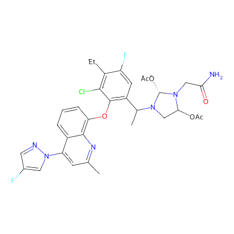 CCc1c(F)cc(C(C)N2CC(OC(C)=O)N(CC(N)=O)[C@H]2OC(C)=O)c(Oc2cccc3c(-n4cc(F)cn4)cc(C)nc23)c1Cl